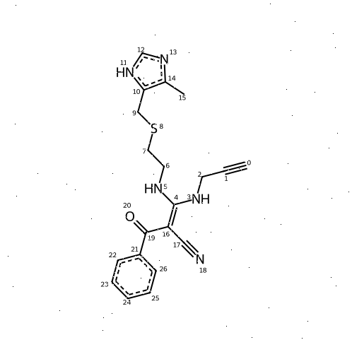 C#CCN/C(NCCSCc1[nH]cnc1C)=C(\C#N)C(=O)c1ccccc1